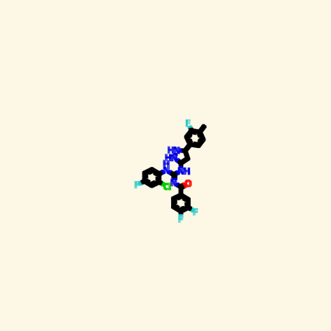 Cc1ccc(C2CC(N/C(=N\C(=O)c3ccc(F)c(F)c3)Nc3ccc(F)cc3Cl)NN2)cc1F